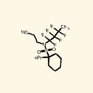 CCCC1(S(=O)(=O)N(CCO)C(F)(F)C(F)(F)C(F)(F)C(F)(F)F)CCCCC1